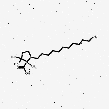 CCCCCCCCCCCCN1CCC(C)(N)[C@@]1(C)C(=O)O